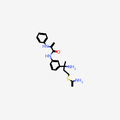 C=C(N)SCCC(C)(N)c1cccc(NC(=O)C(=C)Nc2ccccc2)c1